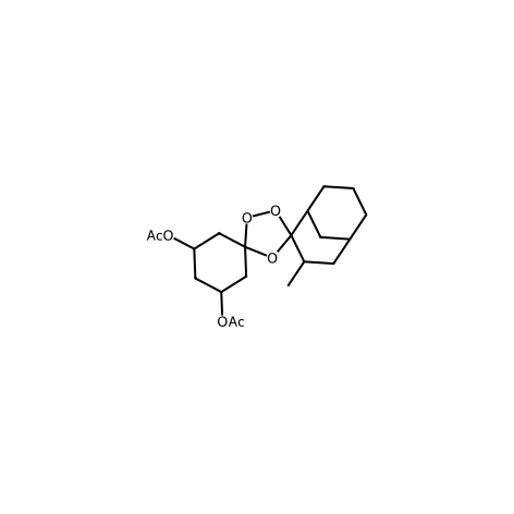 CC(=O)OC1CC(OC(C)=O)CC2(C1)OOC1(O2)C(C)CC2CCCC1C2